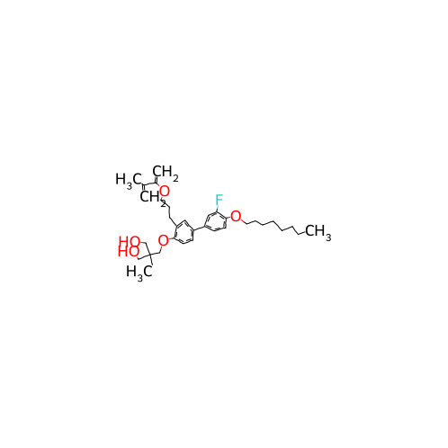 C=C(C)C(=C)OCCCc1cc(-c2ccc(OCCCCCCCC)c(F)c2)ccc1OCC(CC)(CO)CO